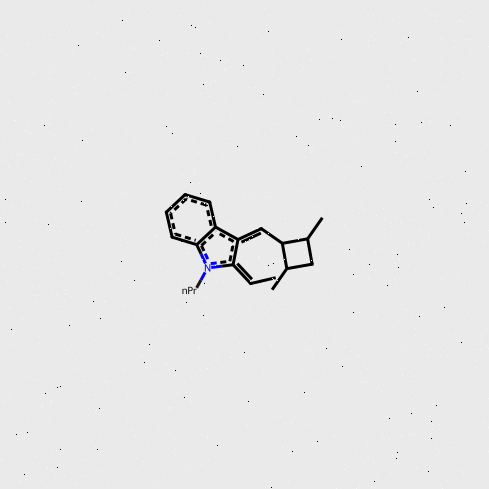 C/C=c1\c(=C/C2C(C)CC2C)c2ccccc2n1CCC